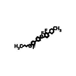 C=CCCCOc1ccc(-c2ccc(OCc3ccc(C4CCC(C)CC4)c(F)c3F)cc2)cc1F